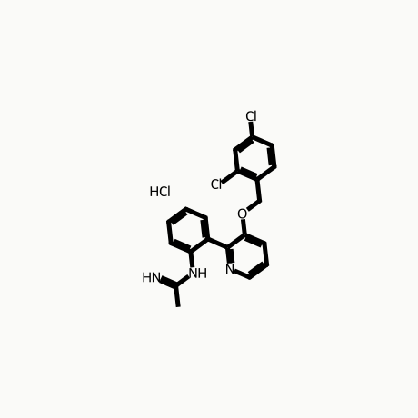 CC(=N)Nc1ccccc1-c1ncccc1OCc1ccc(Cl)cc1Cl.Cl